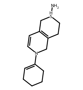 N[SH]1CCC2=C(C=CN(C3=CCCCC3)C2)C1